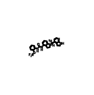 [2H]C([2H])(c1ccnc2[nH]ccc12)N1CCc2c(NC(=O)Nc3ccccc3OC(F)(F)F)cccc21